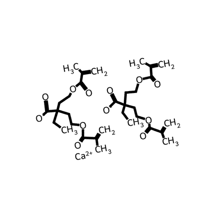 C=C(C)C(=O)OCCC(CC)(CCOC(=O)C(=C)C)C(=O)[O-].C=C(C)C(=O)OCCC(CC)(CCOC(=O)C(=C)C)C(=O)[O-].[Ca+2]